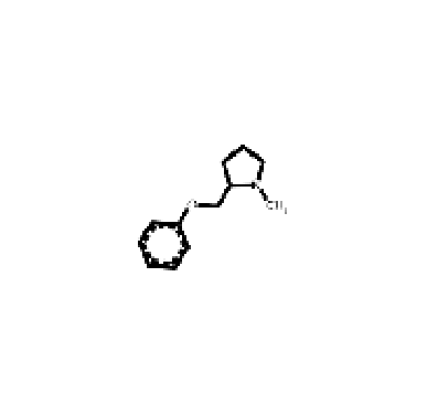 CN1CCCC1COc1ccccc1